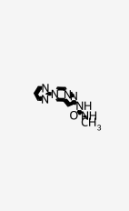 CNC(=O)Nc1cc2n(n1)CCN(c1ncccn1)C2